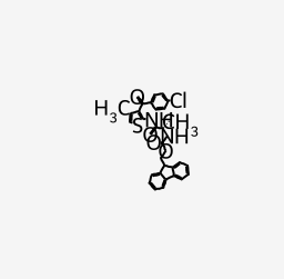 Cc1csc(NC(=O)[C@H](C)NC(=O)OCC2c3ccccc3-c3ccccc32)c1C(=O)c1ccc(Cl)cc1